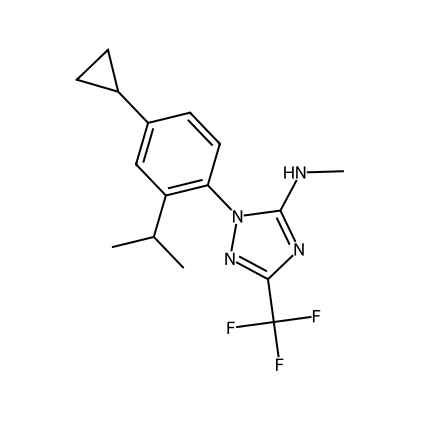 CNc1nc(C(F)(F)F)nn1-c1ccc(C2CC2)cc1C(C)C